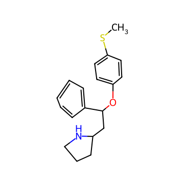 CSc1ccc(OC(CC2CCCN2)c2ccccc2)cc1